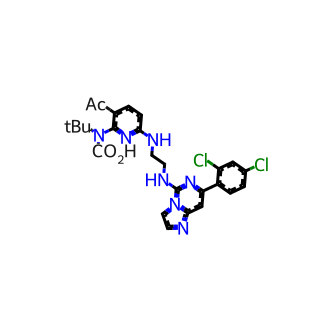 CC(=O)c1ccc(NCCNc2nc(-c3ccc(Cl)cc3Cl)cc3nccn23)nc1N(C(=O)O)C(C)(C)C